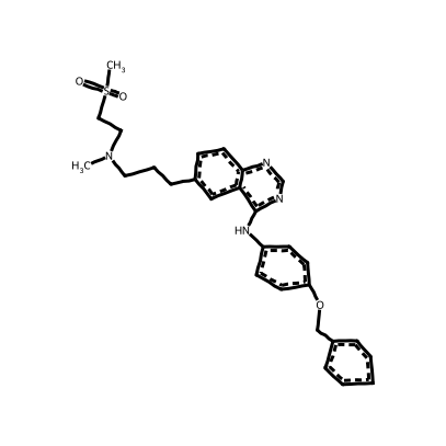 CN(CCCc1ccc2ncnc(Nc3ccc(OCc4ccccc4)cc3)c2c1)CCS(C)(=O)=O